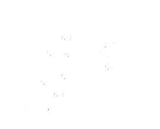 C[C@@H](CO)Nc1ncc2nc(Nc3c(Cl)cc(Cl)cc3Cl)n([C@H]3CC[C@@](C)(C(N)=O)CC3)c2n1